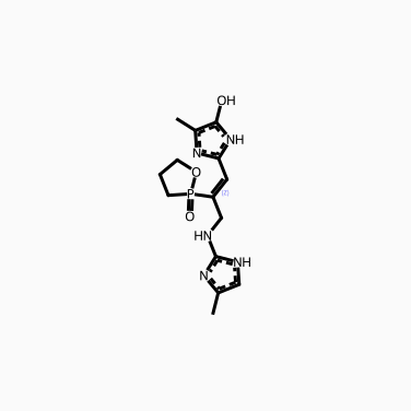 Cc1c[nH]c(NC/C(=C/c2nc(C)c(O)[nH]2)P2(=O)CCCO2)n1